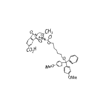 COc1ccc(C(OCCCCCCOC(=O)N[C@@H](C)CN2C(=O)c3ccc(C(=O)O)cc3C2=O)(c2ccccc2)c2ccc(OC)cc2)cc1